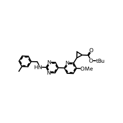 COc1ccc(-c2cnc(NCc3cccc(C)c3)nc2)nc1C1CC1C(=O)OC(C)(C)C